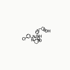 O=S1(=O)CCCc2nc(-c3cccc(Cl)c3)nc(Nc3ccn(CC4CCB(O)C4)c3)c21